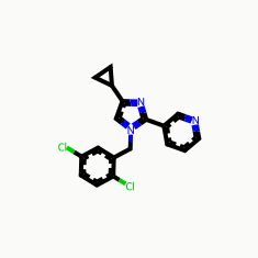 Clc1ccc(Cl)c(Cn2cc(C3CC3)nc2-c2cccnc2)c1